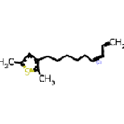 C=C/C=C\CCCCCc1cc(C)sc1C